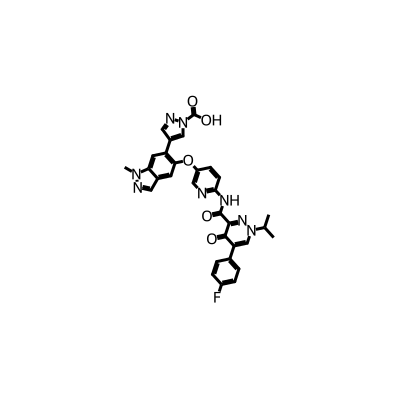 CC(C)n1cc(-c2ccc(F)cc2)c(=O)c(C(=O)Nc2ccc(Oc3cc4cnn(C)c4cc3-c3cnn(C(=O)O)c3)cn2)n1